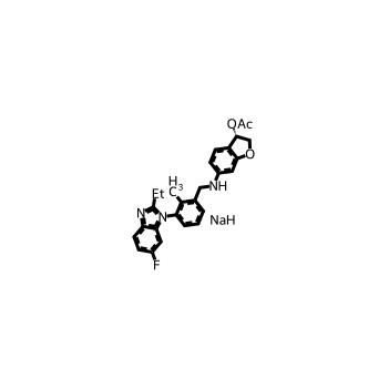 CCc1nc2ccc(F)cc2n1-c1cccc(CNc2ccc3c(c2)OC[C@H]3OC(C)=O)c1C.[NaH]